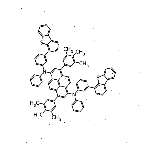 Cc1cc(-c2cc(N(c3ccccc3)c3cccc(-c4cccc5c4sc4ccccc45)c3)c3ccc4c(-c5cc(C)c(C)c(C)c5)cc(N(c5ccccc5)c5cccc(-c6cccc7c6sc6ccccc67)c5)c5ccc2c3c45)cc(C)c1C